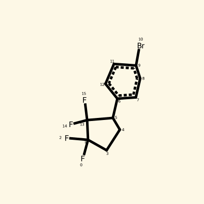 FC1(F)CCC(c2ccc(Br)cc2)C1(F)F